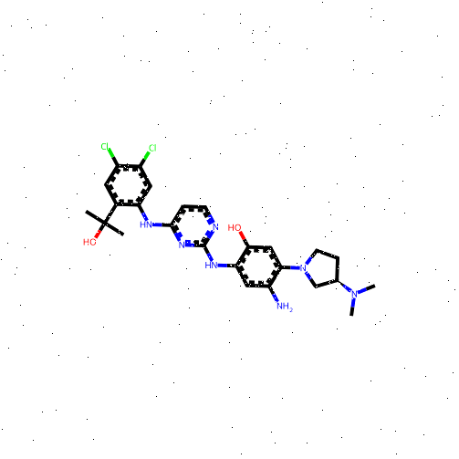 CN(C)[C@@H]1CCN(c2cc(O)c(Nc3nccc(Nc4cc(Cl)c(Cl)cc4C(C)(C)O)n3)cc2N)C1